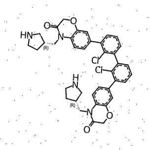 O=C1COc2cc(-c3cccc(-c4cccc(-c5ccc6c(c5)OCC(=O)N6C[C@@H]5CCNC5)c4Cl)c3Cl)ccc2N1C[C@@H]1CCNC1